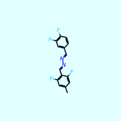 Cc1cc(F)c(C=NN=Cc2ccc(F)c(F)c2)c(F)c1